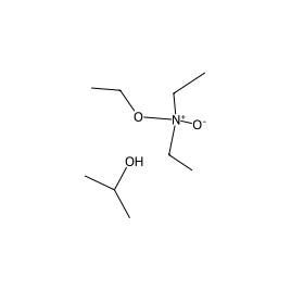 CC(C)O.CCO[N+]([O-])(CC)CC